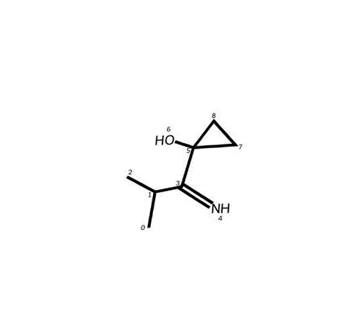 CC(C)C(=N)C1(O)CC1